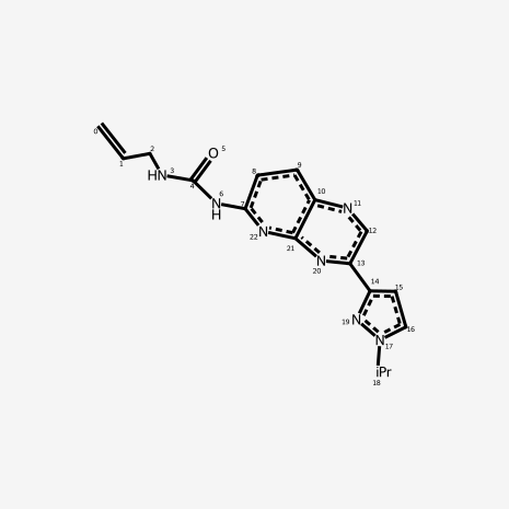 C=CCNC(=O)Nc1ccc2ncc(-c3ccn(C(C)C)n3)nc2n1